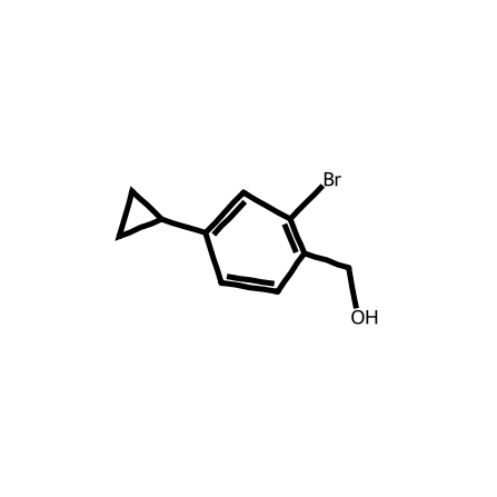 OCc1ccc(C2CC2)cc1Br